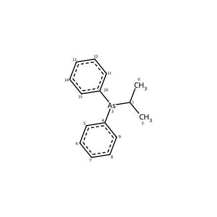 CC(C)[As](c1ccccc1)c1ccccc1